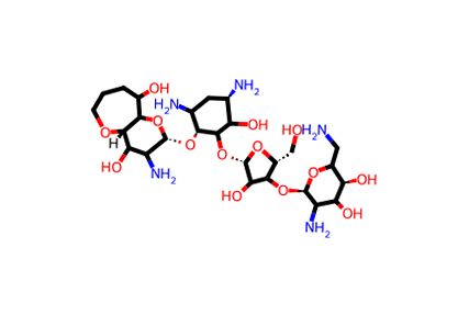 NCC1O[C@H](OC2C(O)[C@H](OC3C(O)[C@H](N)CC(N)[C@H]3O[C@H]3OC4C(O)CCCO[C@H]4C(O)C3N)O[C@@H]2CO)C(N)C(O)[C@@H]1O